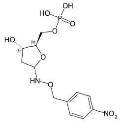 O=[N+]([O-])c1ccc(CONC2C[C@H](O)[C@@H](COP(=O)(O)O)O2)cc1